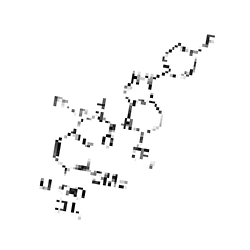 CC[C@H](NC(=O)N1c2cnn(-c3ccc(F)cc3)c2CCC1C(F)(F)F)c1ccc(S(C)(=O)=O)c(OC)c1